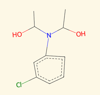 CC(O)N(c1cccc(Cl)c1)C(C)O